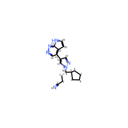 N#CCC[C@@H](C1CCCC1)n1cc(-c2cnnc3[nH]ccc23)cn1